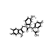 Cc1cc2c(Cn3c(=O)n([C@H](CC(=O)O)c4ccc(F)cc4)c4cc(N)ccc43)cn(C)c2cc1C